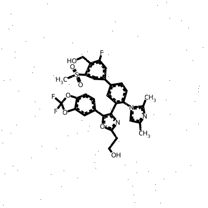 Cc1cn(-c2ccc(-c3cc(F)c(CO)c(S(C)(=O)=O)c3)cc2-c2nc(CCO)oc2-c2ccc3c(c2)OC(F)(F)O3)c(C)n1